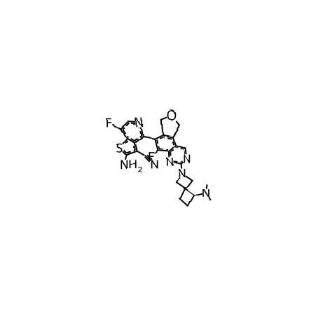 CN(C)C1CCC12CN(c1ncc3c4c(c(-c5ncc(F)c6sc(N)c(C#N)c56)c(F)c3n1)COC4)C2